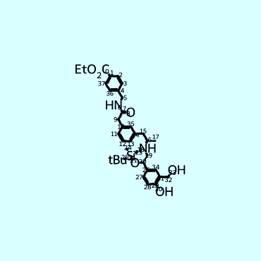 CCOC(=O)c1ccc(CNC(=O)Cc2cccc(C[C@@H](C)NC[C@H](O[Si](C)(C)C(C)(C)C)c3ccc(O)c(CO)c3)c2)cc1